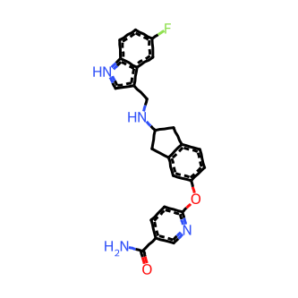 NC(=O)c1ccc(Oc2ccc3c(c2)CC(NCc2c[nH]c4ccc(F)cc24)C3)nc1